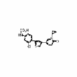 O=C(O)Nc1ccc(-c2cc(-c3ccc(=O)n(C4CC4)c3)cs2)c(Cl)c1